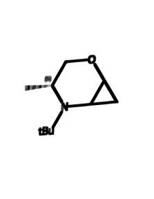 C[C@@H]1COC2CC2N1C(C)(C)C